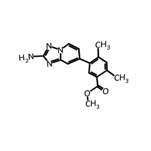 COC(=O)c1cc(-c2ccn3nc(N)nc3c2)c(C)cc1C